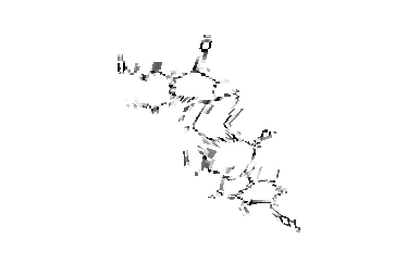 Cc1ccc2c(C(=O)N3CCC4(CC3)CC(=O)c3cc(Cl)ccc3S4)c(N)sc2n1